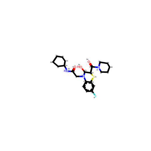 O=C(CN1c2ccc(F)cc2SC(C(=O)N2CCCCC2)C1O)NC1CCCCC1